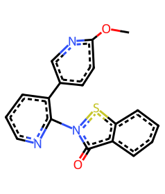 COc1ccc(-c2cccnc2-n2sc3ccccc3c2=O)cn1